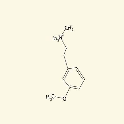 [CH2-][NH2+]CCc1cccc(OC)c1